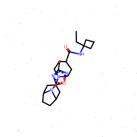 CCC1(NC(=O)C2CCN(C3CC4CCC(C3)N4c3nc(C)no3)CC2)CCC1